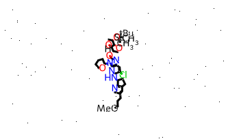 COCCCc1cnc2c(c1)CCC2Nc1nc2c(cc1Cl)nc(O[C@@H]1COC3C(O[Si](C)(C)C(C)(C)C)CO[C@@H]31)n2C1CCCCO1